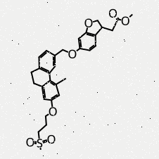 COC(=O)CC1COc2cc(OCc3ccc4c(c3)-c3c(C)cc(OCCCS(C)(=O)=O)cc3CC4)ccc21